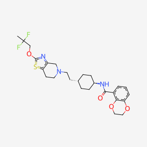 CC(F)(F)COc1nc2c(s1)CCN(CC[C@H]1CC[C@H](NC(=O)c3cccc4c3OCCO4)CC1)C2